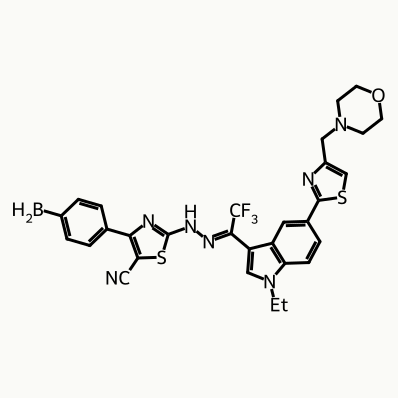 Bc1ccc(-c2nc(N/N=C(/c3cn(CC)c4ccc(-c5nc(CN6CCOCC6)cs5)cc34)C(F)(F)F)sc2C#N)cc1